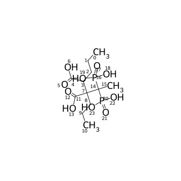 CCCC(C(=O)O)C(CCC)(C(=O)O)C(C)(P(=O)(O)O)P(=O)(O)O